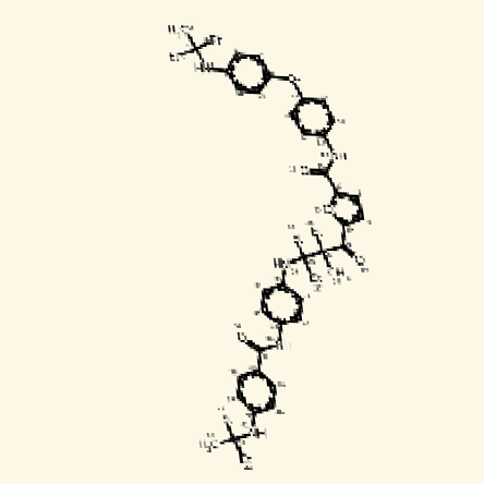 CCC(C)(CC)Nc1ccc(Oc2ccc(NC(=O)c3ccc(C(=O)C(C)(CC)C(CC)(CC)Nc4ccc(NC(=O)c5ccc(NC(C)(CC)CC)cc5)cc4)o3)cc2)cc1